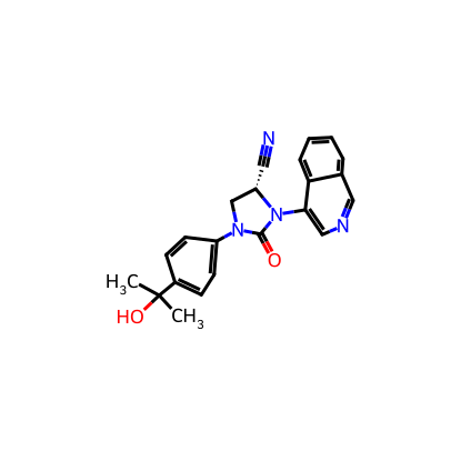 CC(C)(O)c1ccc(N2C[C@H](C#N)N(c3cncc4ccccc34)C2=O)cc1